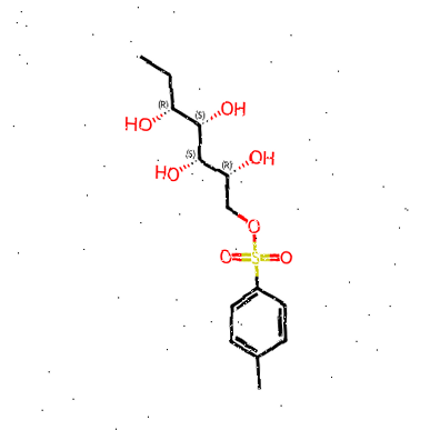 CC[C@@H](O)[C@H](O)[C@@H](O)[C@H](O)COS(=O)(=O)c1ccc(C)cc1